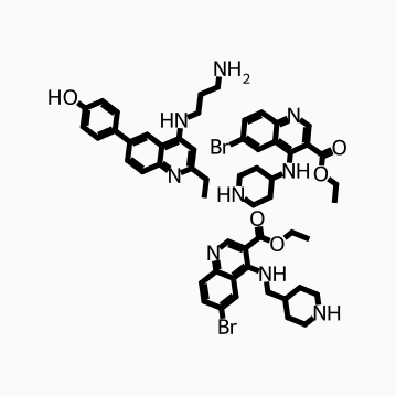 CCOC(=O)c1cnc2ccc(Br)cc2c1NC1CCNCC1.CCOC(=O)c1cnc2ccc(Br)cc2c1NCC1CCNCC1.CCc1cc(NCCCN)c2cc(-c3ccc(O)cc3)ccc2n1